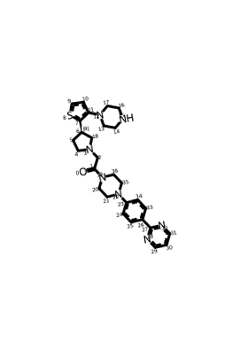 O=C(CN1CC[C@@H](c2sccc2N2CCNCC2)C1)N1CCN(c2ccc(-c3ncccn3)cc2)CC1